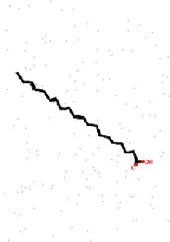 CC/C=C/C/C=C/CC/C=C/CCCCCCCCC(=O)O